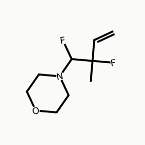 C=CC(C)(F)C(F)N1CCOCC1